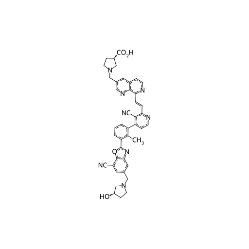 Cc1c(-c2nc3cc(CN4CC[C@@H](O)C4)cc(C#N)c3o2)cccc1-c1ccnc(/C=C/c2nccc3cc(CN4CC[C@@H](C(=O)O)C4)cnc23)c1C#N